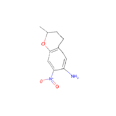 CC1CCc2cc(N)c([N+](=O)[O-])cc2O1